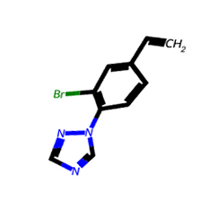 C=Cc1ccc(-n2cncn2)c(Br)c1